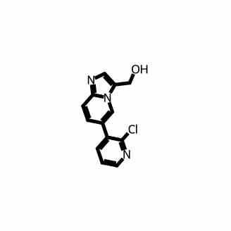 OCc1cnc2ccc(-c3cccnc3Cl)cn12